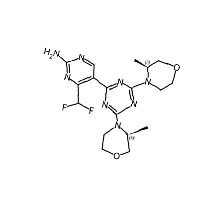 C[C@H]1COCCN1c1nc(-c2cnc(N)nc2C(F)F)nc(N2CCOC[C@@H]2C)n1